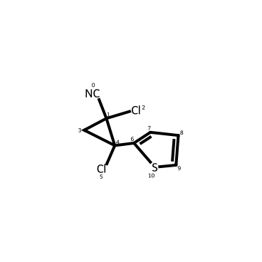 N#CC1(Cl)CC1(Cl)c1cccs1